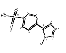 CN1N=NN=S1c1ccc(S(=O)(=O)O)cc1